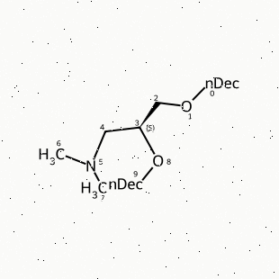 CCCCCCCCCCOC[C@H](CN(C)C)OCCCCCCCCCC